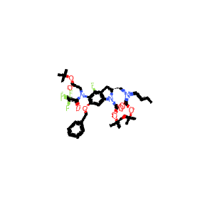 CCCCN(C[C@H]1Cc2c(cc(OCc3ccccc3)c(N(CC(=O)OC(C)(C)C)C(=O)C(F)(F)F)c2F)N1C(=O)OC(C)(C)C)C(=O)OC(C)(C)C